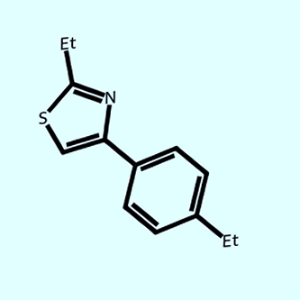 CCc1ccc(-c2csc(CC)n2)cc1